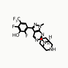 Cn1nc(-c2cc(C(F)(F)F)c(F)c(O)c2F)c2cnc(N3C4CNC[C@@H]3COC4)nc21